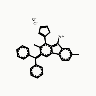 Cc1ccc2c(c1)[C]([Zr+2])=c1c-2cc(=C(c2ccccc2)c2ccccc2)c(C)c1C1=CC=CC1.[Cl-].[Cl-]